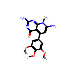 COc1cc(-c2cc(N)n(C)c3nc(N)nc(=O)c2-3)cc(OC)c1OC